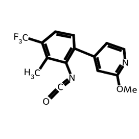 COc1cc(-c2ccc(C(F)(F)F)c(C)c2N=C=O)ccn1